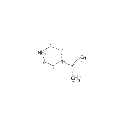 [CH2]C(O)C1CCNCC1